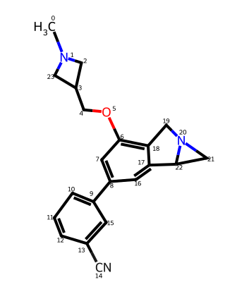 CN1CC(COc2cc(-c3cccc(C#N)c3)cc3c2CN2CC32)C1